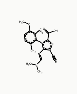 COc1ccc(C)c(-n2c(C(=O)O)nc(C#N)c2/N=C/N(C)C)c1C